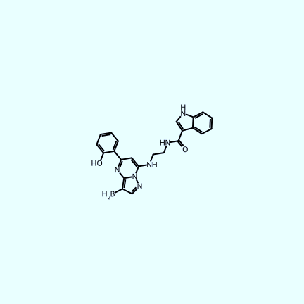 Bc1cnn2c(NCCNC(=O)c3c[nH]c4ccccc34)cc(-c3ccccc3O)nc12